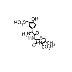 CC1=C(C(=O)O)N2C(=O)C(NC(=O)C(N)c3ccc(O)c(CS(=O)(=O)O)c3)C2SC1